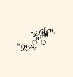 Cn1cc(-n2ncc3cc(N4C(=O)C(C)(C)[C@H](NC(=O)C(C)(F)F)[C@H]4c4ccccc4)ccc32)ccc1=O